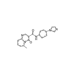 Cc1cccc2ncc(C(=O)Nc3ccc(-n4ccnc4)cc3)c(=O)n12